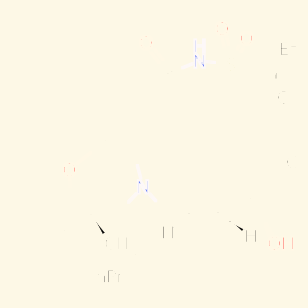 CCCc1ccccc1[C@]1(C)COc2ccc3cc2N(C[C@@H]2CC[C@H]2[C@@H](O)CCCC[C@@H](CC)S(=O)(=O)NC3=O)C1